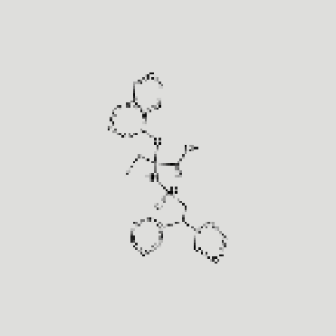 CCC(NS(=O)(=O)CC(c1ccccc1)c1ccccc1)(Oc1cccc2ccccc12)C(=O)O